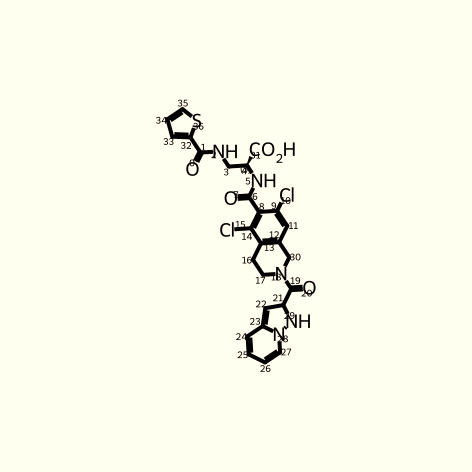 O=C(NC[C@H](NC(=O)c1c(Cl)cc2c(c1Cl)CCN(C(=O)C1C=C3C=CC=CN3N1)C2)C(=O)O)c1cccs1